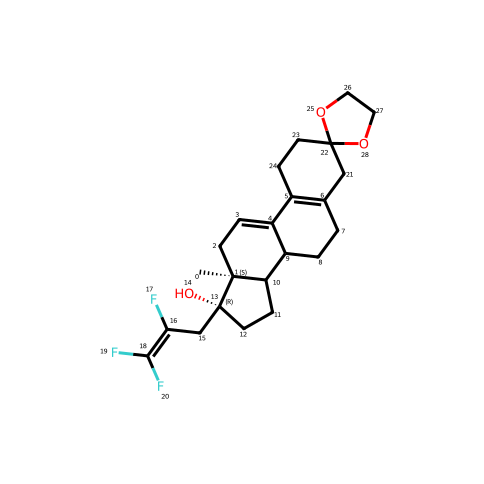 C[C@]12CC=C3C4=C(CCC3C1CC[C@@]2(O)CC(F)=C(F)F)CC1(CC4)OCCO1